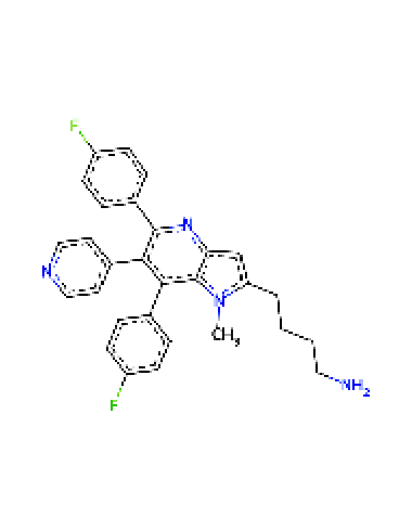 Cn1c(CCCCN)cc2nc(-c3ccc(F)cc3)c(-c3ccncc3)c(-c3ccc(F)cc3)c21